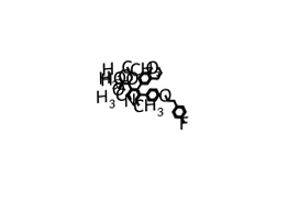 Cc1nc(C)c(C(OC(C)(C)C)C(=O)O)c(-c2ccc3c(c2)CCCO3)c1-c1ccc(OCCc2ccc(F)cc2)cc1